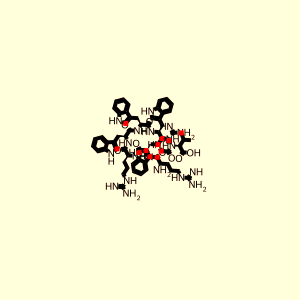 CC(C)[C@H](NC(=O)[C@H](Cc1c[nH]c2ccccc12)NC(=O)[C@H](Cc1c[nH]c2ccccc12)NC(=O)[C@H](Cc1c[nH]c2ccccc12)NC(=O)[C@H](Cc1c[nH]c2ccccc12)NC(=O)[C@H](CCCNC(=N)N)NC(=O)[C@H](CCCNC(=N)N)NC(=O)[C@@H](N)CCCNC(=N)N)C(=O)O